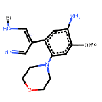 CCN/C=C(\C=N)c1cc(N)c(OC)cc1N1CCOCC1